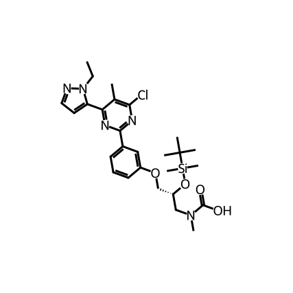 CCn1nccc1-c1nc(-c2cccc(OC[C@@H](CN(C)C(=O)O)O[Si](C)(C)C(C)(C)C)c2)nc(Cl)c1C